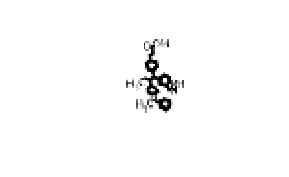 CCC(=C(c1ccc(C=CC(=O)O)cc1)c1ccc2[nH]ncc2c1)c1ccc(N(C)c2ccccc2)cc1